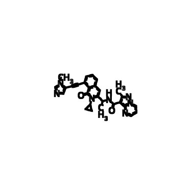 Cc1nn2cccnc2c1C(=O)NC(C)c1cc2cccc(C#Cc3cncn3C)c2c(=O)n1C1CC1